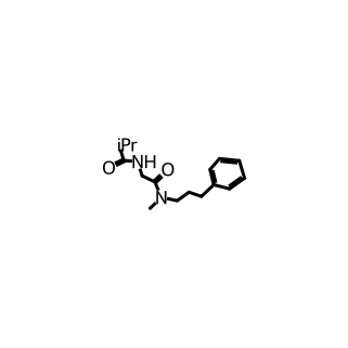 CC(C)C(=O)NCC(=O)N(C)CCCc1ccccc1